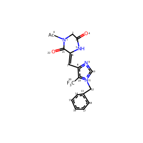 CC(=O)N1CC(=O)N/C(=C\c2ncn(Cc3ccccc3)c2C(F)(F)F)C1=O